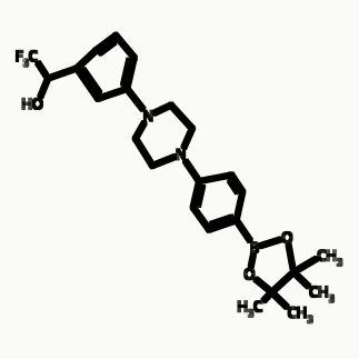 CC1(C)OB(c2ccc(N3CCN(c4cccc(C(O)C(F)(F)F)c4)CC3)cc2)OC1(C)C